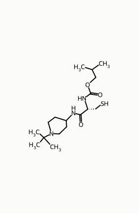 CC(C)COC(=O)N[C@H](CS)C(=O)NC1CCN(C(C)(C)C)CC1